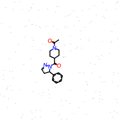 CC(=O)N1CCC(C(=O)N2N=CCC2c2ccccc2)CC1